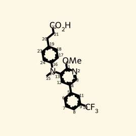 COc1ncc(-c2cccc(C(F)(F)F)c2)cc1N(C)c1ccc(CCC(=O)O)cc1